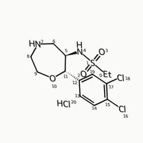 CCS(=O)(=O)N[C@@H]1CNCCO[C@H]1c1ccc(Cl)c(Cl)c1.Cl